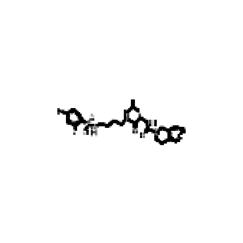 CC(C)C[C@H](NC(=O)N1CCc2ccccc2C1)C(=O)NCCCCNS(=O)(=O)c1ccc(F)cc1Cl